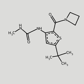 CNC(=O)Nc1cc(C(C)(C)C)sc1C(=O)N1CCC1